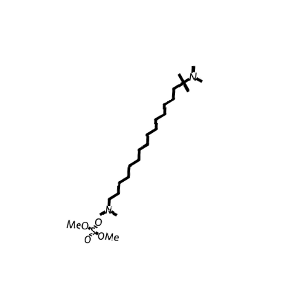 CN(C)CCCCCCCCCCCCCCCC(C)(C)N(C)C.COS(=O)(=O)OC